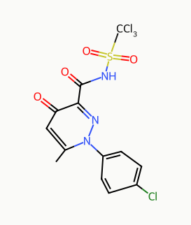 Cc1cc(=O)c(C(=O)NS(=O)(=O)C(Cl)(Cl)Cl)nn1-c1ccc(Cl)cc1